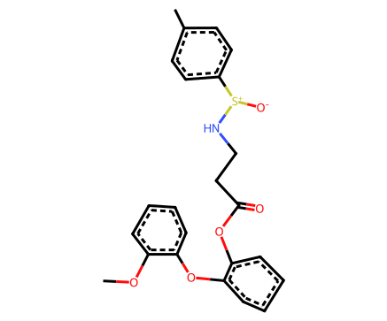 COc1ccccc1Oc1ccccc1OC(=O)CCN[S+]([O-])c1ccc(C)cc1